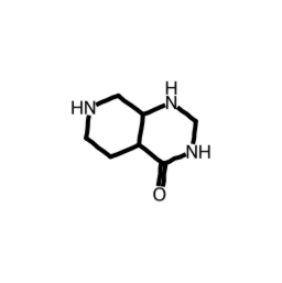 O=C1NCNC2CNCCC12